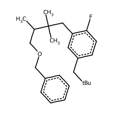 CC(COCc1ccccc1)C(C)(C)Cc1cc(CC(C)(C)C)ccc1F